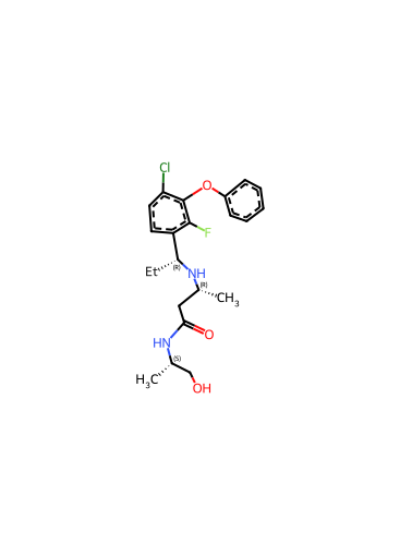 CC[C@@H](N[C@H](C)CC(=O)N[C@@H](C)CO)c1ccc(Cl)c(Oc2ccccc2)c1F